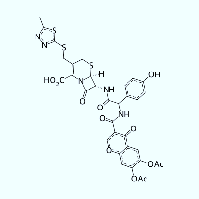 CC(=O)Oc1cc2occ(C(=O)NC(C(=O)N[C@@H]3C(=O)N4C(C(=O)O)=C(CSc5nnc(C)s5)CS[C@@H]34)c3ccc(O)cc3)c(=O)c2cc1OC(C)=O